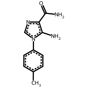 Cc1ccc(-n2cnc(C(N)=O)c2N)cc1